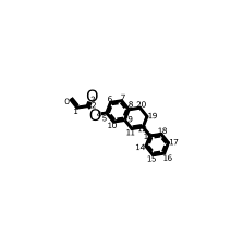 C=CC(=O)Oc1ccc2c(c1)C=C(c1ccccc1)CC2